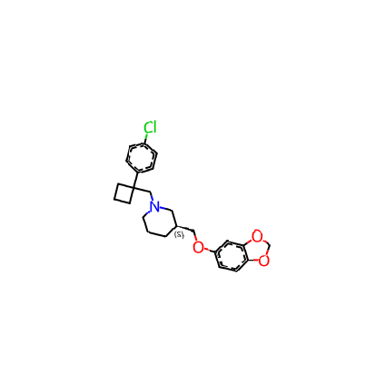 Clc1ccc(C2(CN3CCC[C@H](COc4ccc5c(c4)OCO5)C3)CCC2)cc1